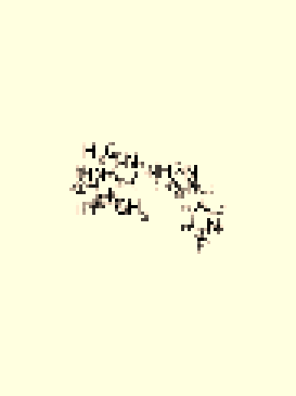 Cc1nc(NCc2cnn(Cc3ccc(F)nc3)c2)cc2c1NC(O)C(C(C)C)N2C